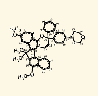 COc1ccc2c3c(c4c(c2c1)C(C)(C)c1cc(OC)c2ccccc2c1-4)C=CC(c1ccccc1)(c1ccc(N2CCOCC2)cc1)O3